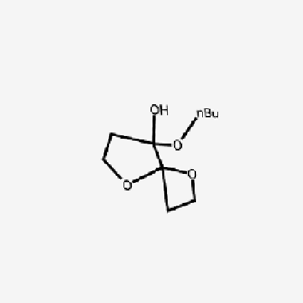 CCCCOC1(O)CCOC12CCO2